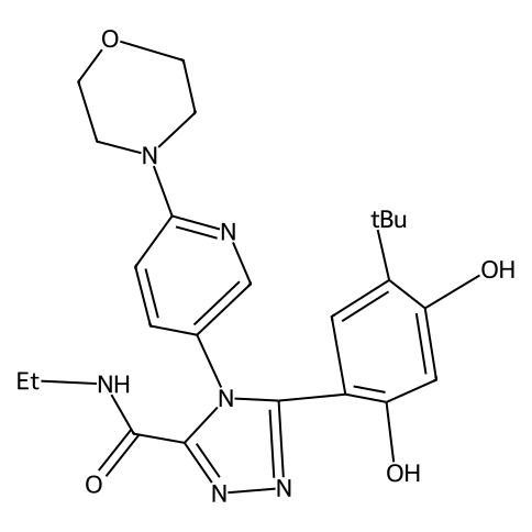 CCNC(=O)c1nnc(-c2cc(C(C)(C)C)c(O)cc2O)n1-c1ccc(N2CCOCC2)nc1